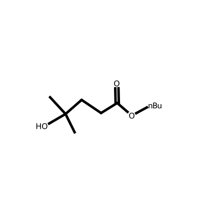 CCCCOC(=O)CCC(C)(C)O